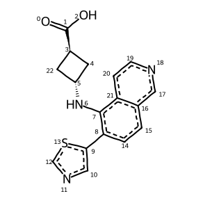 O=C(O)[C@H]1C[C@H](Nc2c(-c3cncs3)ccc3cnccc23)C1